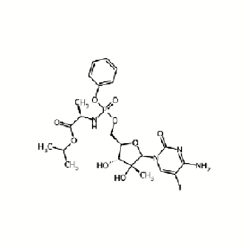 CC(C)OC(=O)[C@@H](C)NP(=O)(OC[C@H]1O[C@@H](n2cc(I)c(N)nc2=O)[C@](C)(O)[C@@H]1O)Oc1ccccc1